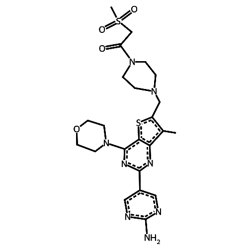 Cc1c(CN2CCN(C(=O)CS(C)(=O)=O)CC2)sc2c(N3CCOCC3)nc(-c3cnc(N)nc3)nc12